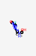 Cc1cc(C/N=N/c2ncc(F)c(N3CCOCC3)n2)ncc1Nc1cccc(O)c1